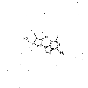 Nc1nc(I)nc2c1ncn2[C@@H]1O[C@H](CO)C(F)[C@H]1O